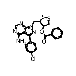 Nc1ncnc2c1c(-c1ccc(Cl)cc1)nn2CC1SSCC1OC(=O)c1ccccc1